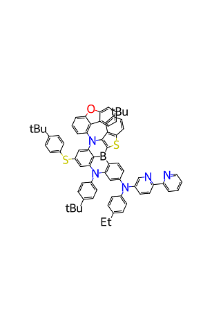 CCc1ccc(N(c2ccc(-c3ccccn3)nc2)c2ccc3c(c2)N(c2ccc(C(C)(C)C)cc2)c2cc(Sc4ccc(C(C)(C)C)cc4)cc4c2B3c2sc3ccc(C(C)(C)C)cc3c2N4c2cccc3oc4ccccc4c23)cc1